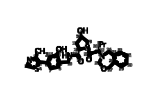 Cc1ncsc1-c1ccc(CNC(=O)[C@@H]2C[C@@H](O)CN2C(=O)[C@H](C(C)C)N2COCc3ccccc3C2)c(O)c1